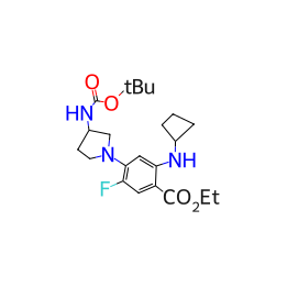 CCOC(=O)c1cc(F)c(N2CCC(NC(=O)OC(C)(C)C)C2)cc1NC1CCC1